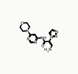 N/C=C(\C(=O)Nc1cc(N2CCOCC2)ncn1)n1ccnn1